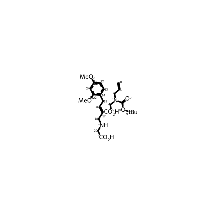 C=CCN(CC(=O)O)C(=O)OC(C)(C)C.COc1ccc(CC=CCNCC(=O)O)c(OC)c1